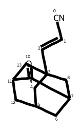 N#CC=CC12CC3CC(C1)C(=O)C(C3)C2